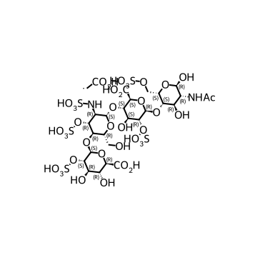 CC(=O)N[C@@H]1[C@@H](O)[C@H](O[C@@H]2O[C@H](C(=O)O)[C@@H](O[C@@H]3O[C@H](CO)[C@@H](O[C@H]4O[C@@H](C(=O)O)[C@H](O)[C@@H](O)[C@@H]4OS(=O)(=O)O)[C@H](OS(=O)(=O)O)[C@H]3NS(=O)(=O)O)[C@H](O)[C@H]2OS(=O)(=O)O)[C@H](COS(=O)(=O)O)O[C@H]1O.[CH2]C(=O)O